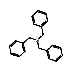 c1ccc(C[SiH](Cc2ccccc2)Cc2ccccc2)cc1